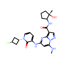 CNc1cc(Nc2cccn([C@H]3C[C@H](F)C3)c2=O)nc2c(C(=O)NC3CCC[C@]3(C)O)cnn12